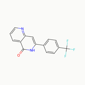 O=c1[nH]c(-c2ccc(C(F)(F)F)cc2)cc2ncccc12